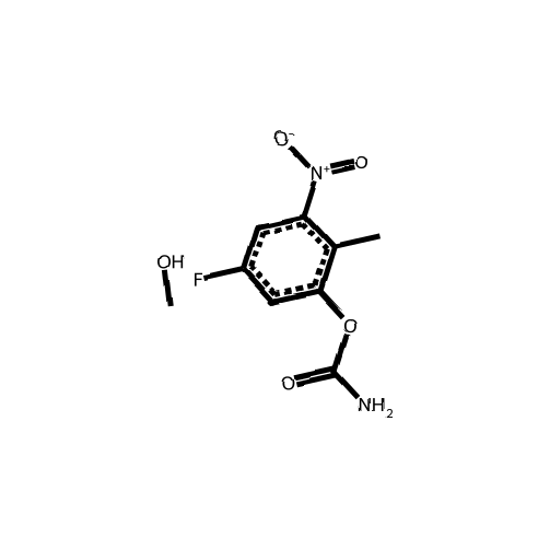 CO.Cc1c(OC(N)=O)cc(F)cc1[N+](=O)[O-]